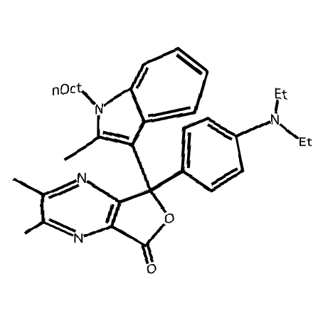 CCCCCCCCn1c(C)c(C2(c3ccc(N(CC)CC)cc3)OC(=O)c3nc(C)c(C)nc32)c2ccccc21